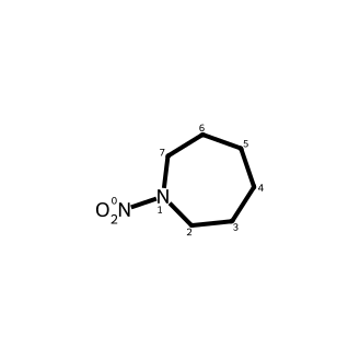 O=[N+]([O-])N1CCCCCC1